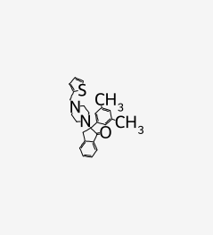 Cc1cc(C)cc(C2(N3CCN(Cc4cccs4)CC3)Cc3ccccc3C2=O)c1